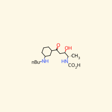 CCCCNC1CCCC(C(=O)C[C@@H](O)[C@H](C)NC(=O)O)C1